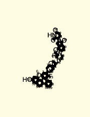 COc1cc(N2CCC3(CC2)C[C@H](CN2CCN4c5ccc6c(c5OC[C@H]4C2)CN([C@H]2CCC(=O)NC2=O)C6=O)CO3)c(F)cc1[C@@H]1c2ccc(O)cc2CC[C@@H]1c1ccccc1